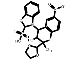 CC1(C2OCCO2)Oc2ccc([N+](=O)[O-])cc2C(N2c3ccccc3OC2S(=O)(=O)O)C1O